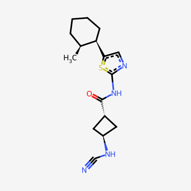 C[C@H]1CCCC[C@H]1c1cnc(NC(=O)[C@H]2C[C@H](NC#N)C2)s1